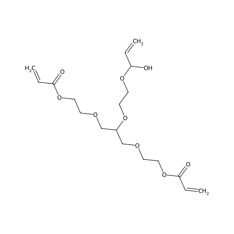 C=CC(=O)OCCOCC(COCCOC(=O)C=C)OCCOC(O)C=C